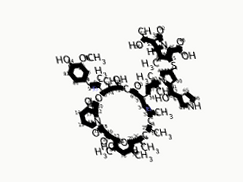 CO[C@@H]1C[C@H](/C=C(\C)[C@H]2OC(=O)[C@@H]3CCCCN3C(=O)C(=O)[C@]3(O)O[C@H]([C@@H](C)C[C@@H](C)C/C(C)=C/[C@@H](CCC(C)(C)N4C[C@@H](SC5=C(C(=O)O)N6C(=O)[C@H]([C@@H](C)O)[C@H]6[C@H]5C)C[C@H]4[C@H](O)[C@@H]4CCNC4)C(=O)C[C@H](O)[C@H]2C)[C@@H](C)C[C@H]3C)CC[C@H]1O